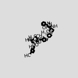 C#Cc1ccc(CNC(=O)[C@@H]2C[C@@H](O)CN2C(=O)[C@@H](NC(=O)C2CCN(C[C@H]3CC[C@@H](N4CCc5[nH]c6nnc(-c7ccccc7O)cc6c5[C@H]4C)CC3)CC2)C(C)(C)C)cc1